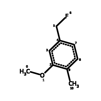 COc1cc(CF)ccc1C